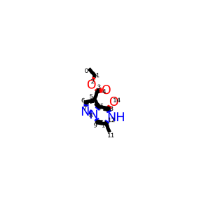 CCOC(=O)c1cnn2cc(C)[nH]c(=O)c12